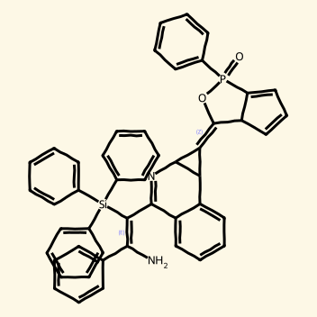 N/C(=C(\C1=NC2/C(=C3\OP(=O)(c4ccccc4)C4=CC=CC43)C2c2ccccc21)[Si](c1ccccc1)(c1ccccc1)c1ccccc1)c1ccccc1